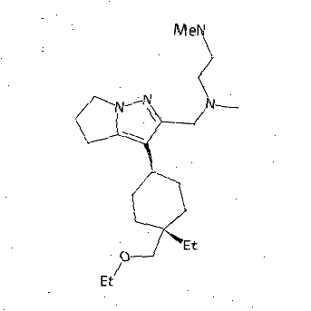 CCOC[C@]1(CC)CC[C@@H](c2c(CN(C)CCNC)nn3c2CCC3)CC1